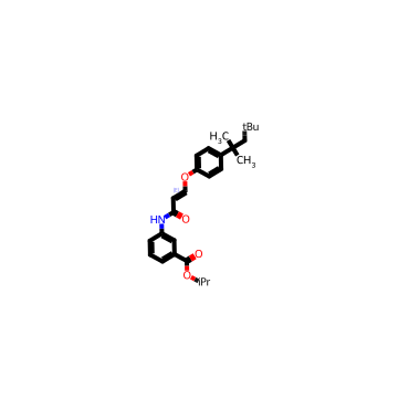 CC(C)OC(=O)c1cccc(NC(=O)/C=C/Oc2ccc(C(C)(C)CC(C)(C)C)cc2)c1